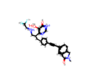 CN1Cc2ccc(C#Cc3ccc(CC(CNCC(F)F)c4nc[nH]c(=O)c4O)cc3)cc2C1=O